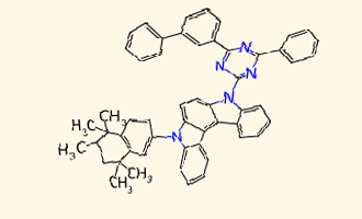 CC1CC(C)(C)c2cc(-n3c4ccccc4c4c5c6ccccc6n(-c6nc(-c7ccccc7)nc(-c7cccc(-c8ccccc8)c7)n6)c5ccc43)ccc2C1(C)C